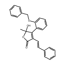 CC1(O)OC(=O)C(C=Cc2ccccc2)=C1c1ccccc1OCc1ccccc1